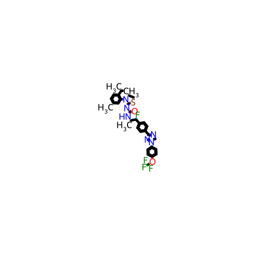 Cc1ccc(C(C)C)c(N2CCS/C2=N\C(=O)NC(C)C(F)c2ccc(-c3ncn(-c4ccc(OC(F)(F)F)cc4)n3)cc2)c1